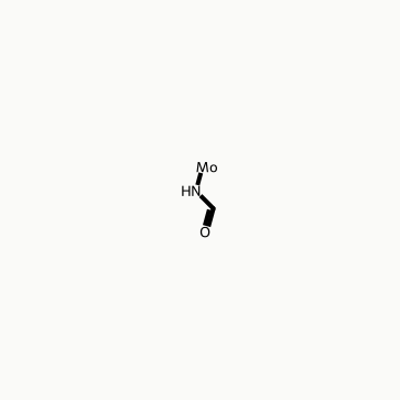 O=C[NH][Mo]